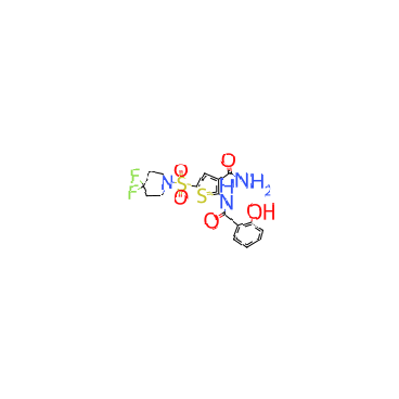 NC(=O)c1cc(S(=O)(=O)N2CCC(F)(F)CC2)sc1NC(=O)c1ccccc1O